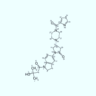 CC(C)(O)CC(=O)N1CCc2cc(N3C[C@H](N4CCN(C(=O)c5cscn5)CC4)CC3=O)ccc21